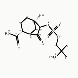 CCOC(=O)C(C)(C)COS(=O)(=O)ON1C(=O)N2C[C@H]1CC[C@H]2C(N)=O